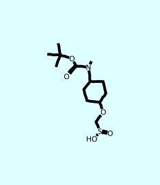 CN(C(=O)OC(C)(C)C)C1CCC(OCS(=O)O)CC1